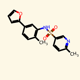 Cc1ccc(S(=O)(=O)Nc2cc(-c3ccco3)ccc2C)cn1